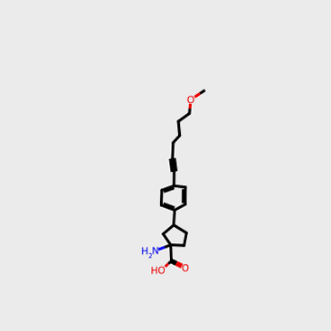 COCCCCC#Cc1ccc(C2CCC(N)(C(=O)O)C2)cc1